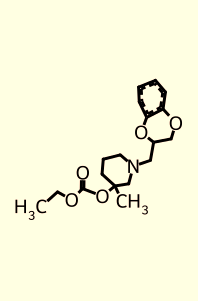 CCOC(=O)OC1(C)CCCN(CC2COc3ccccc3O2)C1